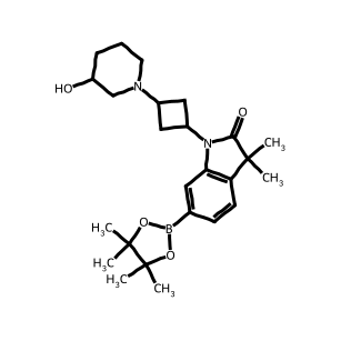 CC1(C)C(=O)N(C2CC(N3CCCC(O)C3)C2)c2cc(B3OC(C)(C)C(C)(C)O3)ccc21